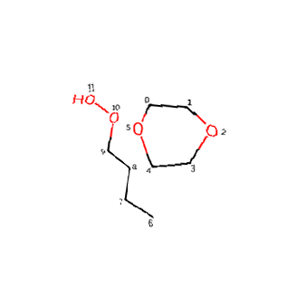 C1COCCO1.CCCCOO